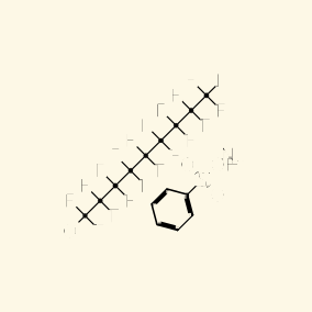 O=S(=O)(O)c1ccccc1.[Na+].[O-]C(F)(F)C(F)(F)C(F)(F)C(F)(F)C(F)(F)C(F)(F)C(F)(F)C(F)(F)C(F)(F)F